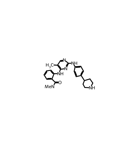 CNC(=O)c1ccccc1Nc1nc(Nc2ccc(C3CCNCC3)cc2)ncc1C